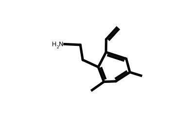 C=Cc1cc(C)cc(C)c1CCN